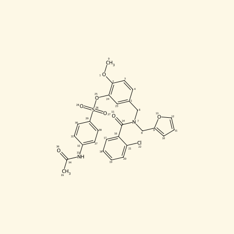 COc1ccc(CN(Cc2ccco2)C(=O)c2ccccc2Cl)cc1OS(=O)(=O)c1ccc(NC(C)=O)cc1